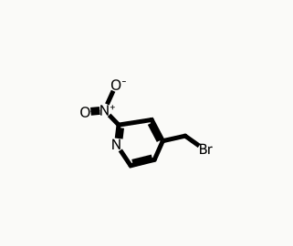 O=[N+]([O-])c1cc(CBr)ccn1